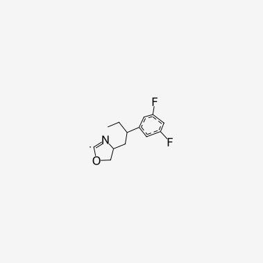 CCC(CC1CO[C]=N1)c1cc(F)cc(F)c1